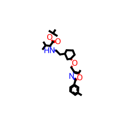 Cc1cccc(-c2nc(COC3CCCC(CCNC(C(=O)OC(C)(C)C)C(C)C)C3)c(C)o2)c1